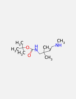 CNCCC(C)(C)CNC(=O)OC(C)(C)C